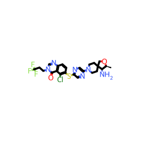 C[C@@H]1OCC2(CCN(c3cnc(Sc4ccc5ncn(CCC(F)(F)F)c(=O)c5c4Cl)cn3)CC2)[C@@H]1N